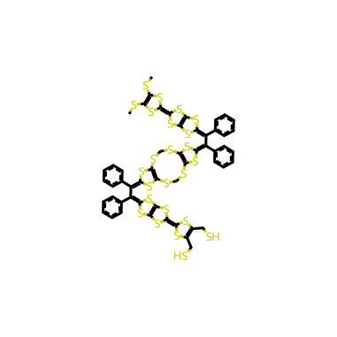 CSC1=C(SC)SC(=C2SC3=C(S2)SC(=C(C(=C2SC4=C(SCSC5=C(SCS4)SC(=C(C(=C4SC6=C(SC(=C7SC(CS)=C(CS)S7)S6)S4)c4ccccc4)c4ccccc4)S5)S2)c2ccccc2)c2ccccc2)S3)S1